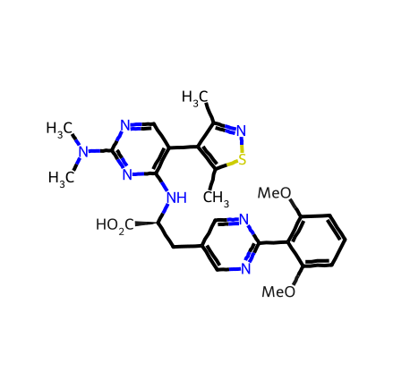 COc1cccc(OC)c1-c1ncc(C[C@H](Nc2nc(N(C)C)ncc2-c2c(C)nsc2C)C(=O)O)cn1